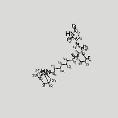 O=C1CCC(N2Cc3c(SCCCCCCCNC45CC6CC(CC(C6)C4)C5)ccc(F)c3C2=O)C(=O)N1